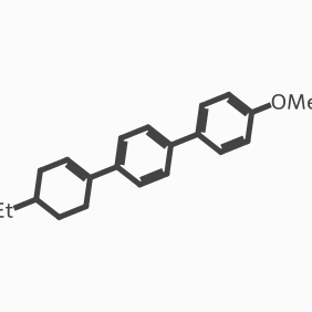 CCC1CC=C(c2ccc(-c3ccc(OC)cc3)cc2)CC1